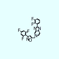 Fc1cc(F)c(-c2cc(Cn3ccc4nc(-c5cccc(F)c5F)nc-4c3)on2)c(F)c1